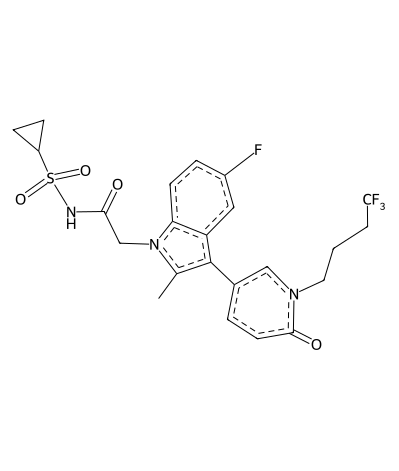 Cc1c(-c2ccc(=O)n(CCCC(F)(F)F)c2)c2cc(F)ccc2n1CC(=O)NS(=O)(=O)C1CC1